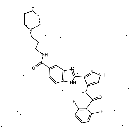 O=C(NCCCN1CCNCC1)c1ccc2[nH]c(-c3n[nH]cc3NC(=O)c3c(F)cccc3F)nc2c1